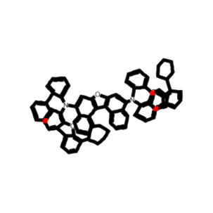 c1ccc(-c2ccccc2N(c2cc3oc4cc(N(c5ccccc5-c5ccccc5)c5cccc6c5oc5c(C7CCCCC7)cccc56)c5ccccc5c4c3c3ccccc23)c2cccc3c2oc2c(C4CCCCC4)cccc23)cc1